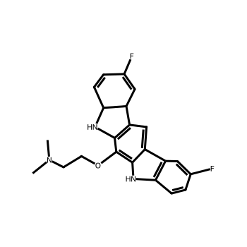 CN(C)CCOc1c2c(cc3c1[nH]c1ccc(F)cc13)C1C=C(F)C=CC1N2